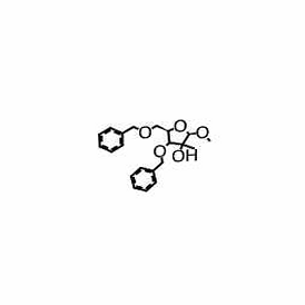 CO[C@@H]1O[C@H](COCc2ccccc2)C(OCc2ccccc2)C1(C)O